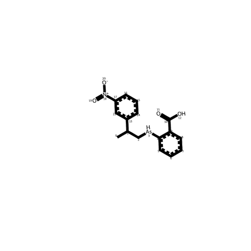 CC(C[AsH]c1ccccc1C(=O)O)c1cccc([N+](=O)[O-])c1